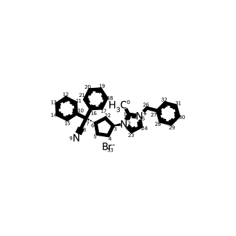 Cc1n([C@H]2CC[C@H](C(C#N)(c3ccccc3)c3ccccc3)C2)cc[n+]1Cc1ccccc1.[Br-]